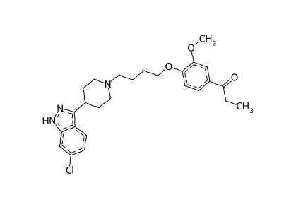 CCC(=O)c1ccc(OCCCCN2CCC(c3n[nH]c4cc(Cl)ccc34)CC2)c(OC)c1